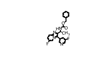 C[C@H](NC(=O)OCc1ccccc1)c1nc2ccc(F)cn2c1-c1cncc(F)c1